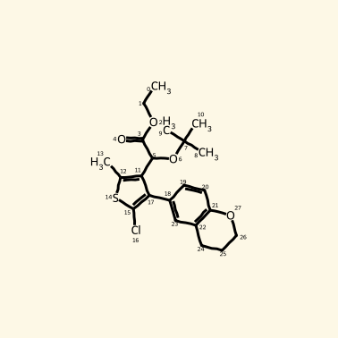 CCOC(=O)C(OC(C)(C)C)c1c(C)sc(Cl)c1-c1ccc2c(c1)CCCO2